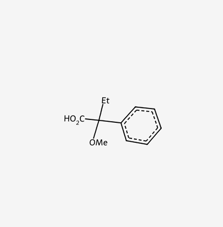 CCC(OC)(C(=O)O)c1ccccc1